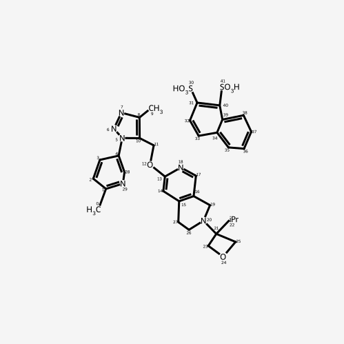 Cc1ccc(-n2nnc(C)c2COc2cc3c(cn2)CN(C2(C(C)C)COC2)CC3)cn1.O=S(=O)(O)c1ccc2ccccc2c1S(=O)(=O)O